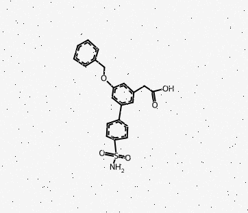 NS(=O)(=O)c1ccc(-c2cc(CC(=O)O)cc(OCc3ccccc3)c2)cc1